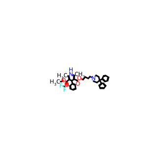 CCOC(=O)C1=C(C)NC(C)=C(C(=O)OCCCCN2CCC(c3ccccc3)(c3ccccc3)CC2)C1c1ccccc1OC(F)F